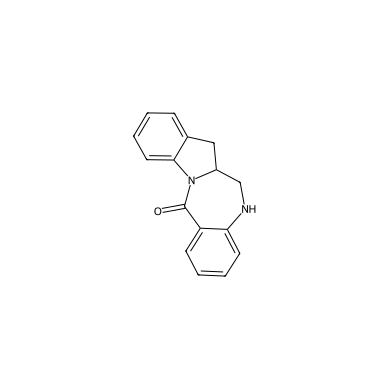 O=C1c2ccccc2NCC2Cc3ccccc3N12